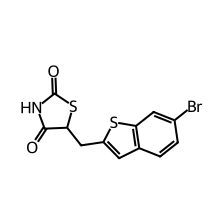 O=C1NC(=O)C(Cc2cc3ccc(Br)cc3s2)S1